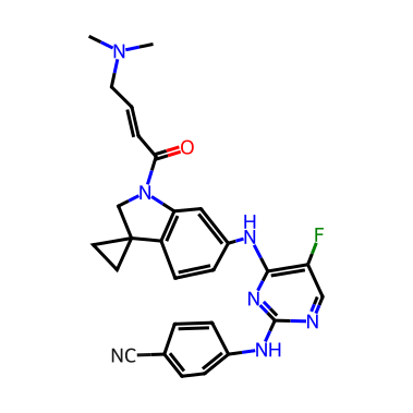 CN(C)C/C=C/C(=O)N1CC2(CC2)c2ccc(Nc3nc(Nc4ccc(C#N)cc4)ncc3F)cc21